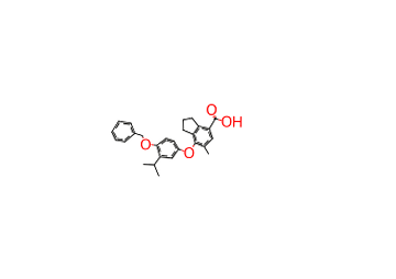 Cc1cc(C(=O)O)c2c(c1Oc1ccc(OCc3ccccc3)c(C(C)C)c1)CCC2